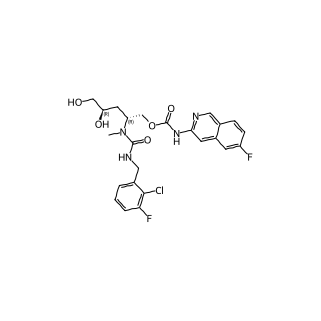 CN(C(=O)NCc1cccc(F)c1Cl)[C@@H](COC(=O)Nc1cc2cc(F)ccc2cn1)C[C@@H](O)CO